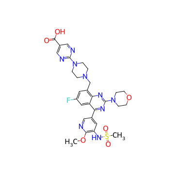 COc1ncc(-c2nc(N3CCOCC3)nc3c(CN4CCN(c5ncc(C(=O)O)cn5)CC4)cc(F)cc23)cc1NS(C)(=O)=O